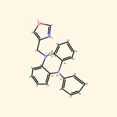 CN(Cc1cocn1)c1ccccc1P(c1ccccc1)c1ccccc1